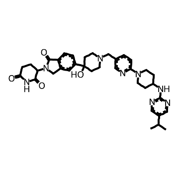 CC(C)c1cnc(NC2CCN(c3ccc(CN4CCC(O)(c5ccc6c(c5)CN(C5CCC(=O)NC5=O)C6=O)CC4)cn3)CC2)nc1